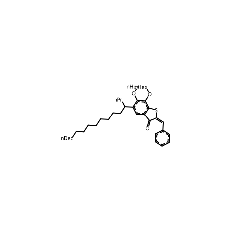 CCCCCCCCCCCCCCCCCCC(CCC)c1cc2c(c(OCCCCCC)c1OCCCCCC)SC(=Cc1ccccc1)C2=O